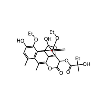 C=C1C(OCC)C2(O)OCC34C(=C(C)c5c(C)cc(O)c(OCC)c5C23)OC(=O)C(OC(=O)C(C)(O)CC)C14